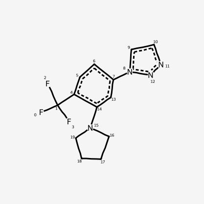 FC(F)(F)c1ccc(-n2ccnn2)cc1N1CCCC1